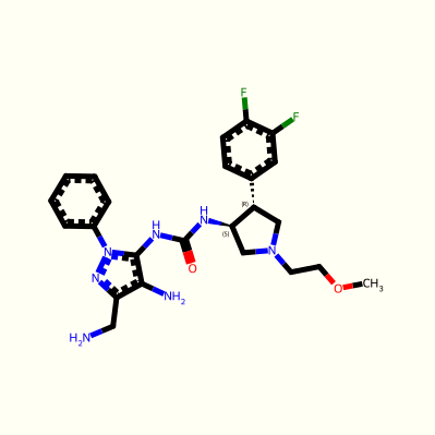 COCCN1C[C@@H](NC(=O)Nc2c(N)c(CN)nn2-c2ccccc2)[C@H](c2ccc(F)c(F)c2)C1